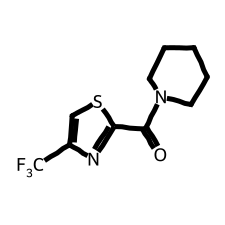 O=C(c1nc(C(F)(F)F)cs1)N1CCCCC1